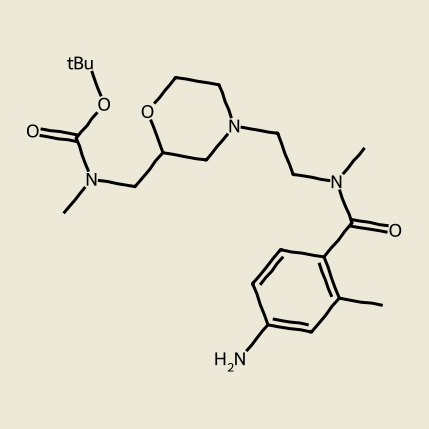 Cc1cc(N)ccc1C(=O)N(C)CCN1CCOC(CN(C)C(=O)OC(C)(C)C)C1